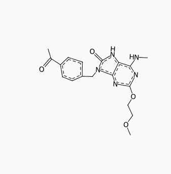 CNc1nc(OCCOC)nc2c1[nH]c(=O)n2Cc1ccc(C(C)=O)cc1